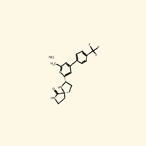 Cc1cc(-c2ccc(C(F)(F)F)cc2)cc([C@@H]2CC[C@@]3(CCNC3=O)N2)n1.Cl